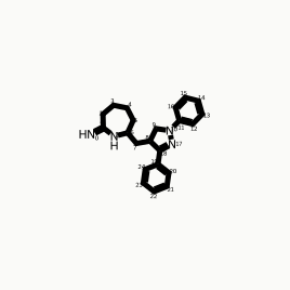 N=C1CCCCC(CC2CN(c3ccccc3)N=C2c2ccccc2)N1